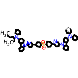 C=C/C(=C\C=C/C)N(c1ccccc1)c1ccc2c(c1)c1ccccc1n2-c1ccc(-c2ccc(S(=O)(=O)c3ccc(-c4ccc(-n5c6ccccc6c6cc(N(c7ccccc7)c7ccccc7)ccc65)cn4)cc3)cc2)cn1